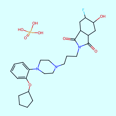 O=C1C2CC(O)C(F)CC2C(=O)N1CCCN1CCN(c2ccccc2OC2CCCC2)CC1.O=P(O)(O)O